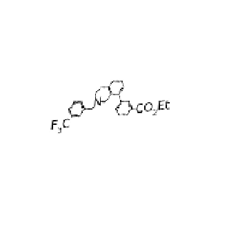 CCOC(=O)c1cccc(-c2cccc3c2CN(Cc2cccc(C(F)(F)F)c2)CC3)c1